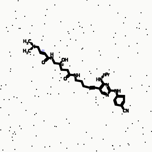 CCCNc1nc(Nc2ccc(C#N)cc2)ncc1C#CCCCNC(=O)CC[C@H](O)CNC(=O)/C=C/CN(C)C